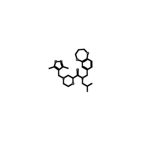 Cc1noc(C)c1CN1CCOC(C(=O)N(Cc2ccc3c(c2)OCCCO3)CC(C)C)C1